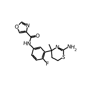 CC1(c2cc(NC(=O)c3cocn3)ccc2F)CCSC(N)=N1